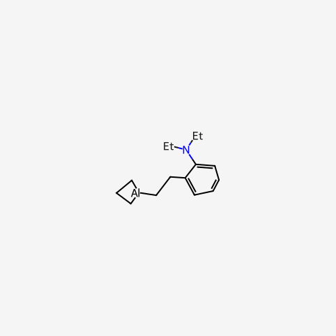 CCN(CC)c1ccccc1C[CH2][Al]1[CH2]C[CH2]1